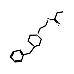 CCC(=O)OCCN1CCC(Cc2ccccc2)CC1